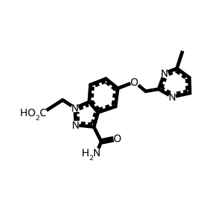 Cc1ccnc(COc2ccc3c(c2)c(C(N)=O)nn3CC(=O)O)n1